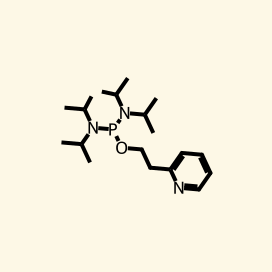 CC(C)N(C(C)C)P(OCCc1ccccn1)N(C(C)C)C(C)C